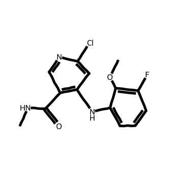 CNC(=O)c1cnc(Cl)cc1Nc1cccc(F)c1OC